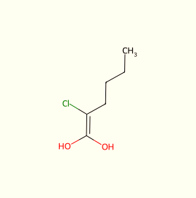 CCCCC(Cl)=C(O)O